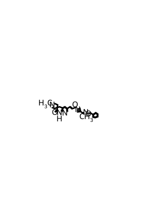 CC(=NOCc1ccccc1)C1CN(C(=O)C=Cc2cnc3c(c2)CC2(CCN(C)CC2)C(=O)N3)C1